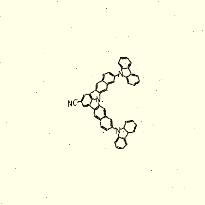 N#Cc1cc2c3cc4ccc(N5c6ccccc6C6C=CC=CC65)cc4cc3n3c4cc5cc(-n6c7ccccc7c7ccccc76)ccc5cc4c(c1)c23